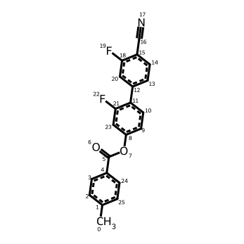 Cc1ccc(C(=O)Oc2ccc(-c3ccc(C#N)c(F)c3)c(F)c2)cc1